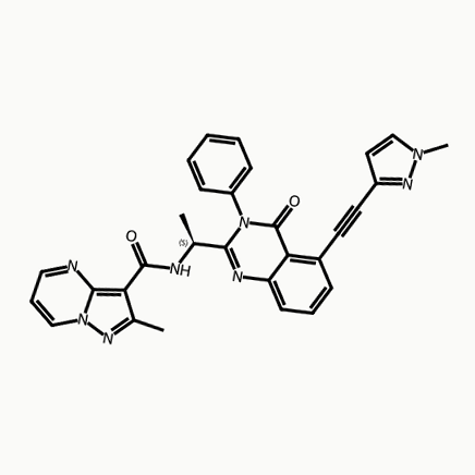 Cc1nn2cccnc2c1C(=O)N[C@@H](C)c1nc2cccc(C#Cc3ccn(C)n3)c2c(=O)n1-c1ccccc1